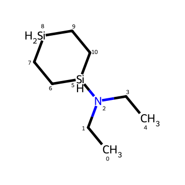 CCN(CC)[SiH]1CC[SiH2]CC1